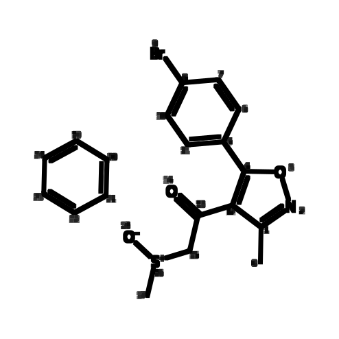 Cc1noc(-c2ccc(Br)cc2)c1C(=O)C[S+](C)[O-].c1ccccc1